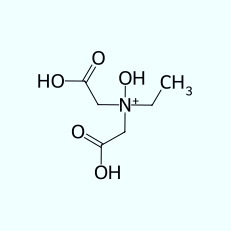 CC[N+](O)(CC(=O)O)CC(=O)O